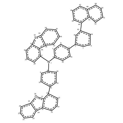 c1cc(-c2ccc(N(c3ccc(-c4cccc5c4oc4ccccc45)cc3)c3cccc4sc5ccccc5c34)cc2)cc(-c2cccc3ccccc23)c1